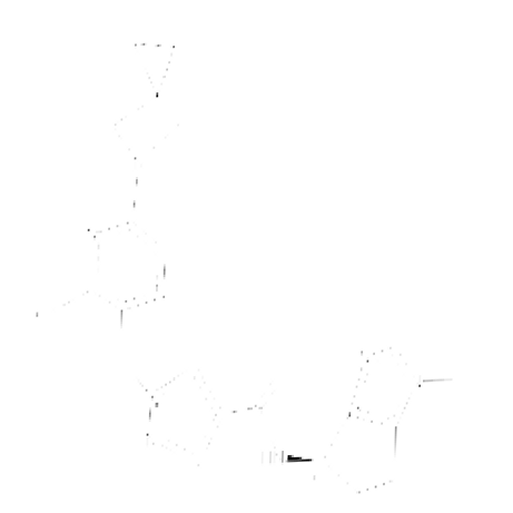 Cn1cnc2c1CC[C@H]2NC(=O)c1cnn(Cc2ccc(N3CC4(CC4)C3)nc2Cl)c1